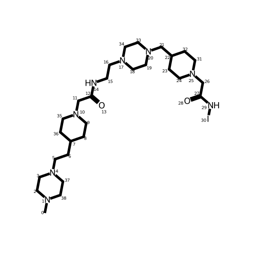 CN1CCN(CCC2CCN(CC(=O)NCCN3CCN(CC4CCN(CC(=O)NI)CC4)CC3)CC2)CC1